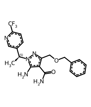 C[C@@H](c1ccc(C(F)(F)F)nc1)n1nc(COCc2ccccc2)c(C(N)=O)c1N